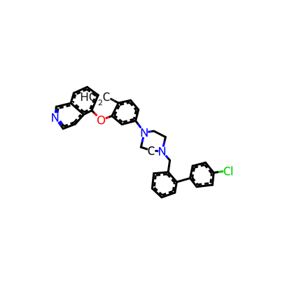 O=C(O)c1ccc(N2CCN(Cc3ccccc3-c3ccc(Cl)cc3)CC2)cc1Oc1cccc2cnccc12